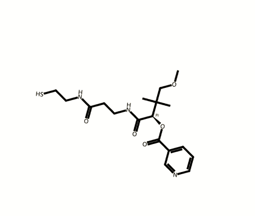 COCC(C)(C)[C@@H](OC(=O)c1cccnc1)C(=O)NCCC(=O)NCCS